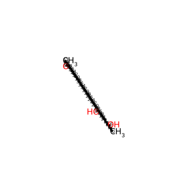 CCCCC(O)CCCCCCCCCCC(O)CCCCCCCCCCCCCCCCCCCCCCCCCCCCCCCC(=O)CCC